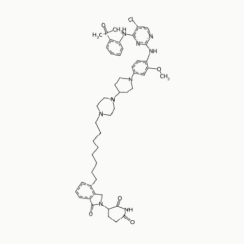 COc1cc(N2CCC(N3CCN(CCCCCCCCc4cccc5c4CN(C4CCC(=O)NC4=O)C5=O)CC3)CC2)ccc1Nc1ncc(Cl)c(Nc2ccccc2P(C)(C)=O)n1